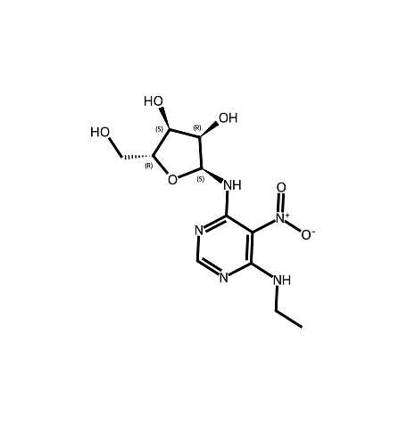 CCNc1ncnc(N[C@H]2O[C@H](CO)[C@@H](O)[C@H]2O)c1[N+](=O)[O-]